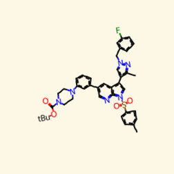 Cc1ccc(S(=O)(=O)n2cc(-c3cn(Cc4cccc(F)c4)nc3C)c3cc(-c4cccc(N5CCN(C(=O)OC(C)(C)C)CC5)c4)cnc32)cc1